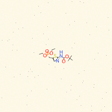 CCOP(=O)(Cc1cnc(NC(=O)OC(C)(C)C)s1)OCC